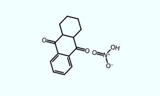 O=C1c2ccccc2C(=O)C2CCCCC12.O=[N+]([O-])O